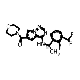 C[C@@H](Nc1ncnn2cc(C(=O)N3CCOCC3)cc12)c1cccc(C(F)F)c1F